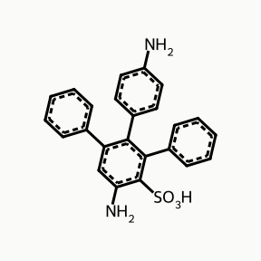 Nc1ccc(-c2c(-c3ccccc3)cc(N)c(S(=O)(=O)O)c2-c2ccccc2)cc1